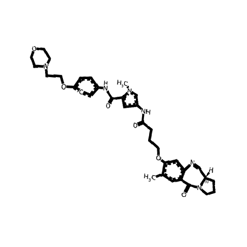 Cc1cc2c(cc1OCCCC(=O)Nc1cc(C(=O)Nc3ccc(OCCN4CCOCC4)cc3)n(C)c1)N=C[C@@H]1CCCN1C2=O